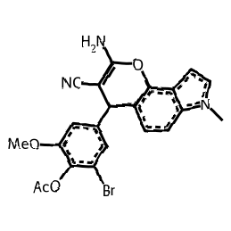 COc1cc(C2C(C#N)=C(N)Oc3c2ccc2c3ccn2C)cc(Br)c1OC(C)=O